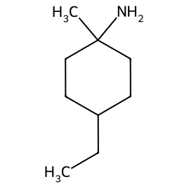 CCC1CCC(C)(N)CC1